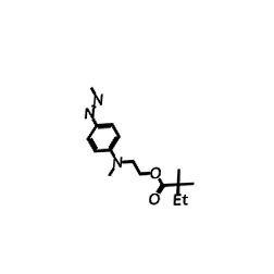 CCC(C)(C)C(=O)OCCN(C)c1ccc(/N=N/C)cc1